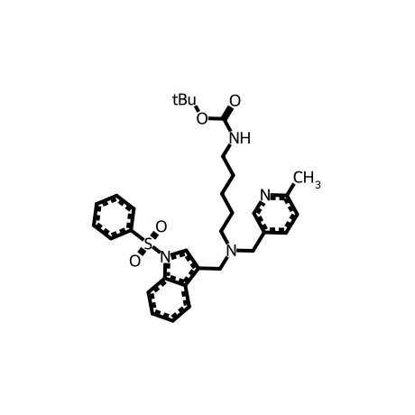 Cc1ccc(CN(CCCCCNC(=O)OC(C)(C)C)Cc2cn(S(=O)(=O)c3ccccc3)c3ccccc23)cn1